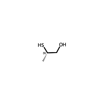 C[C@H](S)CO